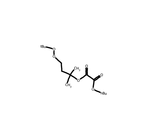 CCCCOC(=O)C(=O)OC(C)(C)CCOOC(C)(C)C